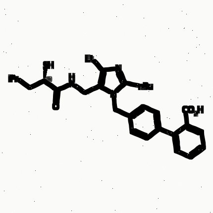 CCCCc1nc(CC)c(CNC(=O)[C@@H](S)CC(C)C)n1Cc1ccc(-c2ccccc2C(=O)O)cc1